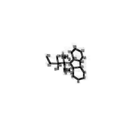 BC(B)(C1C2CCCCC2C2CCCCC21)C(C)(C)CC